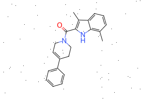 Cc1c(C(=O)N2CC=C(c3ccccc3)CC2)[nH]c2c(C)cccc12